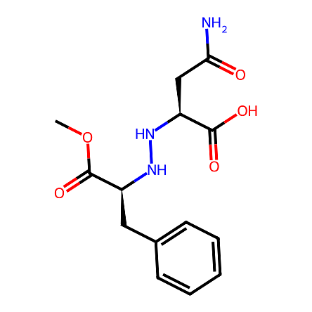 COC(=O)[C@H](Cc1ccccc1)NN[C@@H](CC(N)=O)C(=O)O